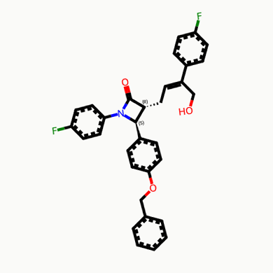 O=C1[C@H](CC=C(CO)c2ccc(F)cc2)[C@@H](c2ccc(OCc3ccccc3)cc2)N1c1ccc(F)cc1